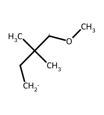 [CH2]CC(C)(C)[CH]OC